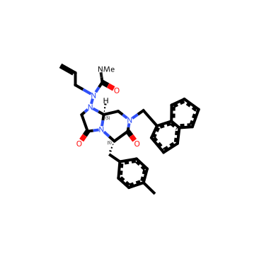 C=CCN(C(=O)NC)N1CC(=O)N2[C@@H](Cc3ccc(C)cc3)C(=O)N(Cc3cccc4ccccc34)C[C@@H]21